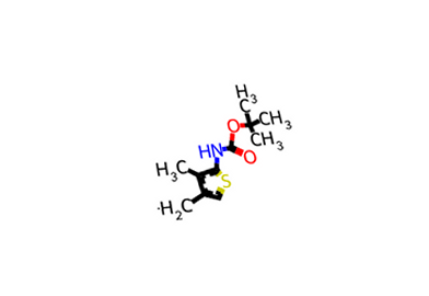 [CH2]c1csc(NC(=O)OC(C)(C)C)c1C